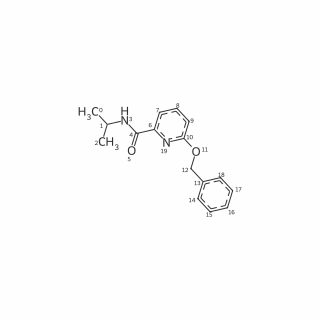 CC(C)NC(=O)c1cccc(OCc2ccccc2)n1